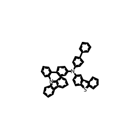 c1ccc(-c2ccc(N(c3ccc(-c4ccccc4-n4c5ccccc5c5ccccc54)cc3)c3ccc4sc5ccccc5c4c3)cc2)cc1